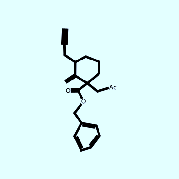 C#CCC1CCCC(CC(C)=O)(C(=O)OCc2ccccc2)C1=C